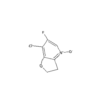 [O-][n+]1cc(F)c(Cl)c2c1CCO2